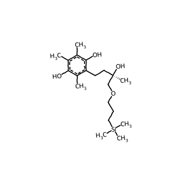 Cc1c(C)c(O)c(CC[C@@](C)(O)COCCC[Si](C)(C)C)c(C)c1O